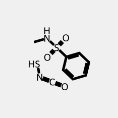 CNS(=O)(=O)c1ccccc1.O=C=NS